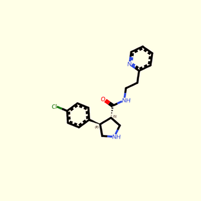 O=C(NCCc1ccccn1)[C@@H]1CNC[C@H]1c1ccc(Cl)cc1